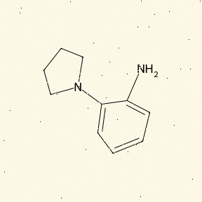 Nc1ccccc1N1CCCC1